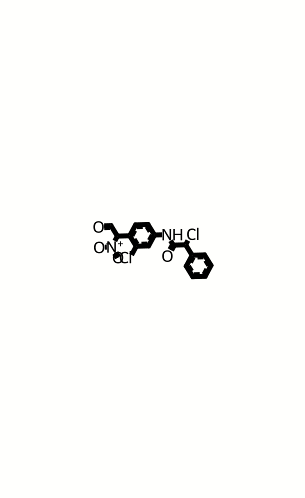 O=CC(c1ccc(NC(=O)C(Cl)c2ccccc2)cc1Cl)[N+](=O)[O-]